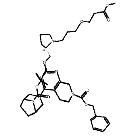 COC(=O)CCOCCCN1CCC[C@H]1COc1nc2c(c(N3CC4CCC(C3)N4C(=O)OC(C)(C)C)n1)CCN(C(=O)OCc1ccccc1)C2